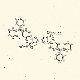 CCCCCCCCS(=O)(=O)c1cc(-c2cc(S(=O)(=O)CCCCCCCC)c(-c3ccc(N(c4ccccc4)c4ccccc4)cc3)s2)sc1-c1ccc(N(c2ccccc2)c2ccccc2)cc1